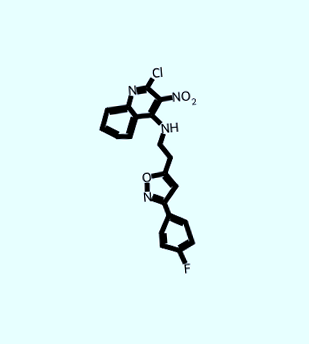 O=[N+]([O-])c1c(Cl)nc2ccccc2c1NCCc1cc(-c2ccc(F)cc2)no1